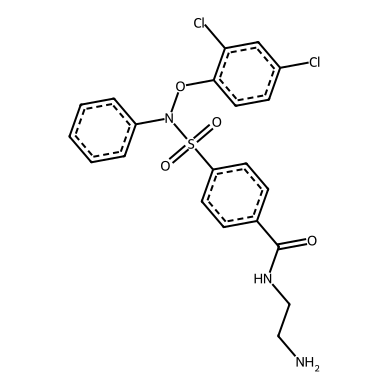 NCCNC(=O)c1ccc(S(=O)(=O)N(Oc2ccc(Cl)cc2Cl)c2ccccc2)cc1